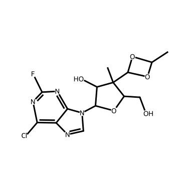 CC1OC(C2(C)C(CO)OC(n3cnc4c(Cl)nc(F)nc43)C2O)O1